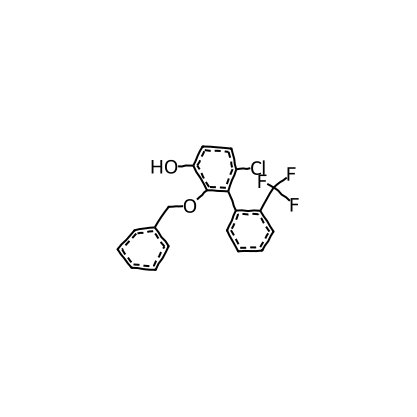 Oc1ccc(Cl)c(-c2ccccc2C(F)(F)F)c1OCc1ccccc1